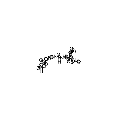 CS(=O)(=O)n1ccc(C(=O)N[C@@H](CCCCNC(=O)CCN2CCN(c3ccc4c(c3)C(=O)N(C3CCC(=O)NC3=O)C4=O)CC2)C(=O)Nc2nc(-c3ccccc3)cs2)c1